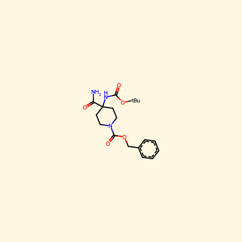 CC(C)(C)OC(=O)NC1(C(N)=O)CCN(C(=O)OCc2ccccc2)CC1